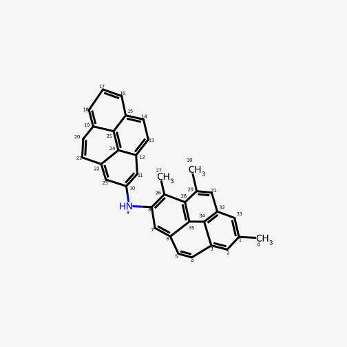 Cc1cc2ccc3cc(Nc4cc5ccc6cccc7ccc(c4)c5c67)c(C)c4c(C)cc(c1)c2c34